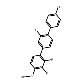 CCCOc1ccc(-c2ccc(-c3ccc(C)cc3)c(F)c2)c(F)c1F